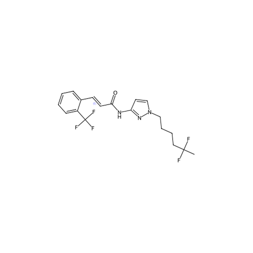 CC(F)(F)CCCCn1ccc(NC(=O)/C=C/c2ccccc2C(F)(F)F)n1